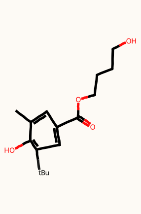 Cc1cc(C(=O)OCCCCO)cc(C(C)(C)C)c1O